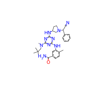 Cc1ccc(C(N)=O)cc1Nc1nc(N[C@H]2CCN(C(C#N)c3ccccc3)C2)nc(N(C)CC(C)(C)C)n1